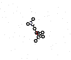 C=C(/C=C(\N=C(/C)c1ccccc1)c1ccccc1)c1ccc(-c2ccc(-c3cc(-c4ccccc4)nc4c3C3(c5ccccc5-c5ccccc53)c3ccccc3-4)cc2)cc1